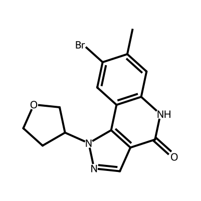 Cc1cc2[nH]c(=O)c3cnn(C4CCOC4)c3c2cc1Br